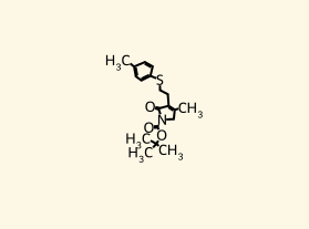 CC1=C(CCSc2ccc(C)cc2)C(=O)N(C(=O)OC(C)(C)C)C1